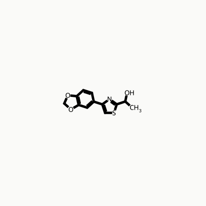 CC(O)c1nc(-c2ccc3c(c2)OCO3)cs1